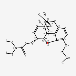 CCN(CC)C(=O)CO[C@H]1C=C[C@H]2[C@H]3Cc4ccc(OCOC)c5c4[C@@]2(CCN3C)[C@H]1O5